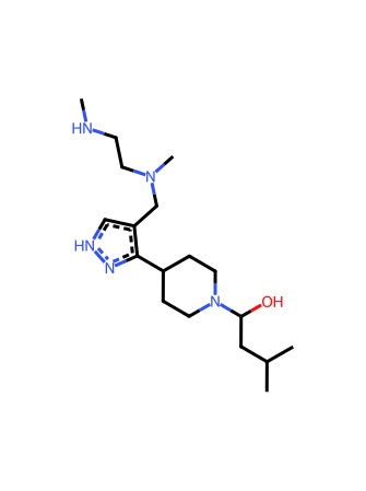 CNCCN(C)Cc1c[nH]nc1C1CCN(C(O)CC(C)C)CC1